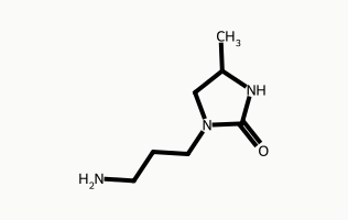 CC1CN(CCCN)C(=O)N1